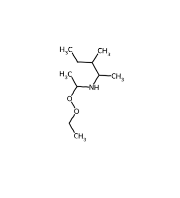 CCOOC(C)NC(C)C(C)CC